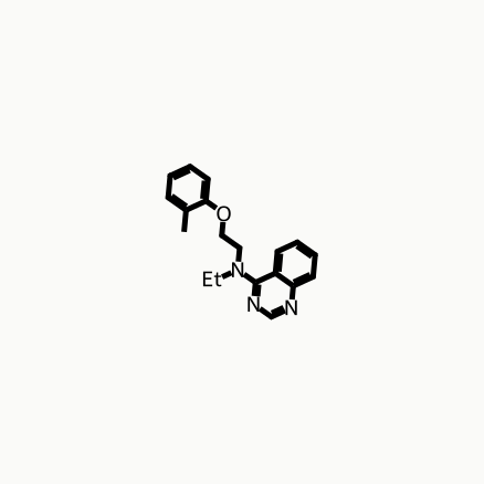 CCN(CCOc1ccccc1C)c1ncnc2ccccc12